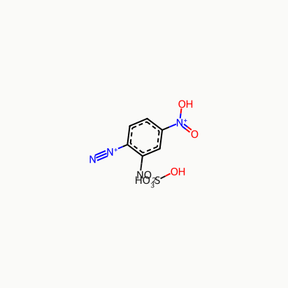 N#[N+]c1ccc([N+](=O)O)cc1[N+](=O)[O-].O=S(=O)(O)O